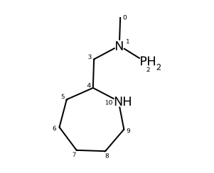 CN(P)CC1CCCCCN1